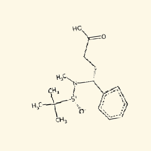 CN([C@H](CCC(=O)O)c1ccccc1)[S@+]([O-])C(C)(C)C